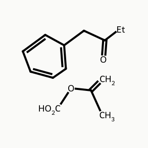 C=C(C)OC(=O)O.CCC(=O)Cc1ccccc1